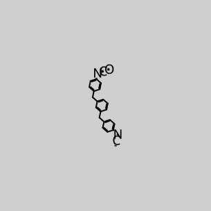 C=C=Nc1ccc(Cc2cccc(Cc3ccc(N=C=O)cc3)c2)cc1